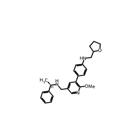 COc1ncc(CN[C@H](C)c2ccccc2)cc1-c1ccc(NCC2CCCO2)cc1